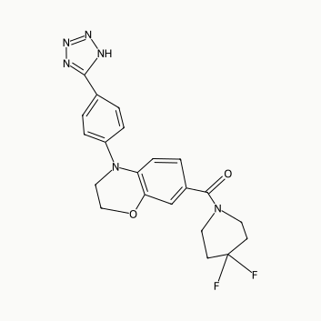 O=C(c1ccc2c(c1)OCCN2c1ccc(-c2nnn[nH]2)cc1)N1CCC(F)(F)CC1